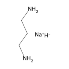 NCCCN.[H-].[Na+]